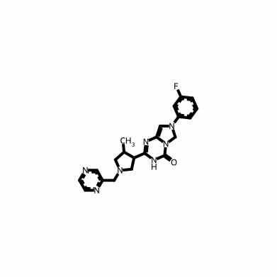 CC1CN(Cc2cnccn2)CC1C1=NC2=CN(c3cccc(F)c3)CN2C(=O)N1